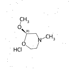 CO[C@H]1CN(C)CCO1.Cl